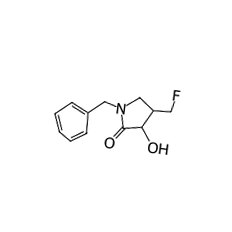 O=C1C(O)C(CF)CN1Cc1ccccc1